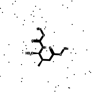 C[C@H](CC(=O)OC(C)(C)C)[C@H](NC(=O)OC(C)(C)C)C(=O)O